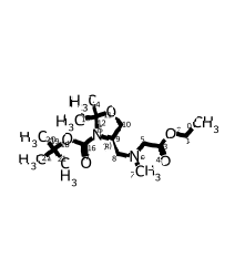 CCOC(=O)CN(C)C[C@@H]1COC(C)(C)N1C(=O)OC(C)(C)C